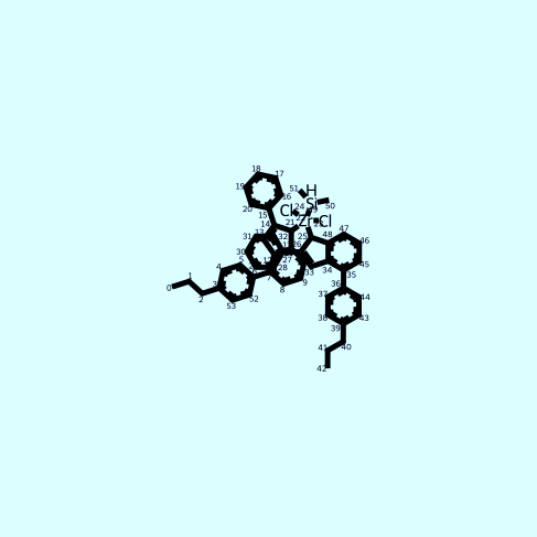 CCCc1ccc(-c2cccc3c2C=C(c2ccccc2)[CH]3[Zr]([Cl])([Cl])([CH]2C(c3ccccc3)=Cc3c(-c4ccc(CCC)cc4)cccc32)[SiH](C)C)cc1